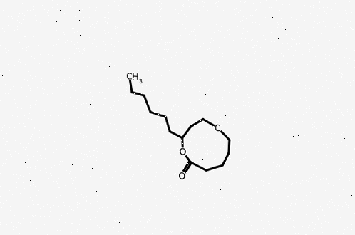 CCCCCCC1CCCCCCCC(=O)O1